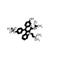 CC(C)NC(=O)c1c(C(c2ccc(O)cc2)c2ccc(OS(C)(=O)=O)cc2)c2ccccc2n1CCN(C)C